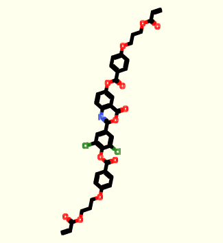 C=CC(=O)OCCCOc1ccc(C(=O)Oc2ccc3nc(-c4cc(Cl)c(OC(=O)c5ccc(OCCCOC(=O)C=C)cc5)c(Cl)c4)oc(=O)c3c2)cc1